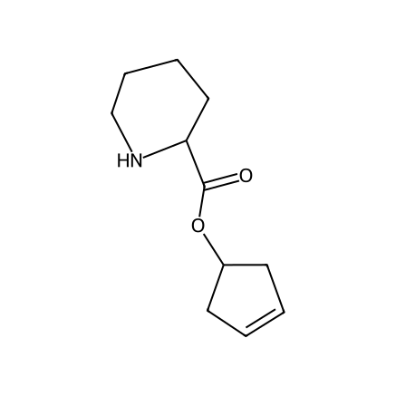 O=C(OC1CC=CC1)C1CCCCN1